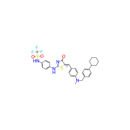 CN(Cc1ccc(C2CCCCC2)cc1)c1ccc(/C=C2\SC(Nc3ccc(NS(=O)(=O)C(F)(F)F)cc3)=NC2=O)cc1